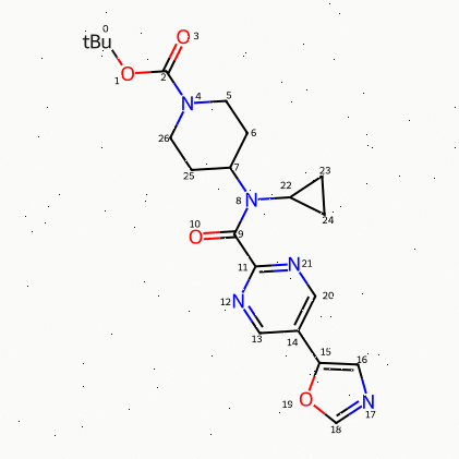 CC(C)(C)OC(=O)N1CCC(N(C(=O)c2ncc(-c3cnco3)cn2)C2CC2)CC1